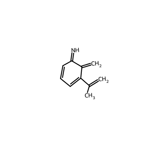 C=C(C)C1=CC=CC(=N)C1=C